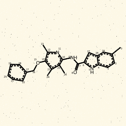 Cc1ccc2[nH]c(C(=O)Nc3nc(C)c(OCc4ccccc4)c(C)c3C)cc2c1